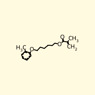 C=C(C)C(=O)OCCCCCCOc1ccccc1C